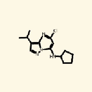 CC(C)c1cnn2c(NC3CCCC3)cc(Cl)nc12